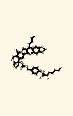 CCCCC[C@H](C)C(=O)Nc1ccc(COC(=O)O[C@]2(CC)C(=O)OCc3c2cc2n(c3=O)Cc3c-2nc2cc4c(cc2c3CCCC)OCO4)cc1